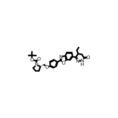 CCC1CC(=O)NN=C1c1ccc2nc(-c3ccc(OC[C@@H]4CCCN4C(=O)OC(C)(C)C)cc3)oc2c1